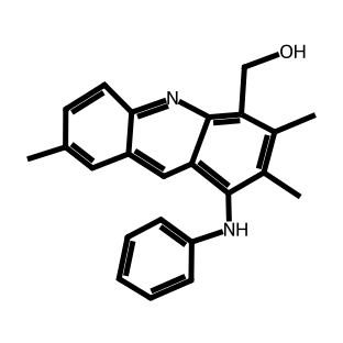 Cc1ccc2nc3c(CO)c(C)c(C)c(Nc4ccccc4)c3cc2c1